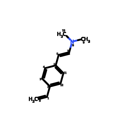 C=Cc1ccc(C=CN(C)C)cc1